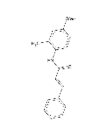 COc1ccc(NC(=O)/C=C/c2ccccc2)c(C)c1